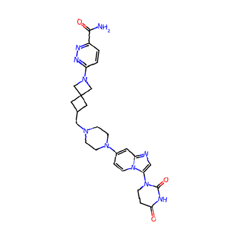 NC(=O)c1ccc(N2CC3(CC(CN4CCN(c5ccn6c(N7CCC(=O)NC7=O)cnc6c5)CC4)C3)C2)nn1